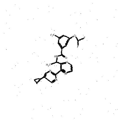 CC(NC(=O)c1cc(OC(F)F)cc(C(F)(F)F)c1)c1nccnc1-c1ncc(C2CC2)cn1